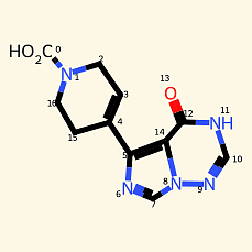 O=C(O)N1CC=C(c2ncn3nc[nH]c(=O)c23)CC1